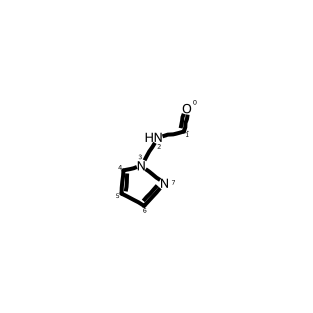 O=[C]Nn1cccn1